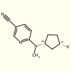 CN(c1ccc(C#N)cn1)[C@@H]1CC[C@H](F)C1